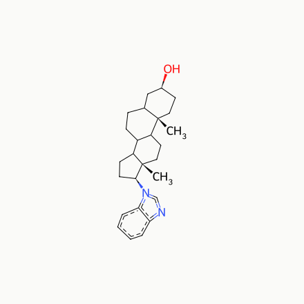 C[C@]12CC[C@H](O)CC1CCC1C2CC[C@@]2(C)C1CC[C@@H]2n1cnc2ccccc21